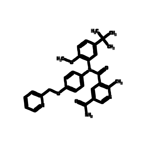 COc1ccc(C(C)(C)C)cc1N(C(=O)c1cc(C(N)=O)cnc1C)c1ccc(OCc2ccccn2)cc1